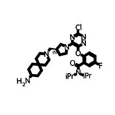 CC(C)N(C(=O)c1cc(F)ccc1Oc1nnc(Cl)nc1N1CC[C@@H](CN2CCC3(CCC(N)CC3)CC2)C1)C(C)C